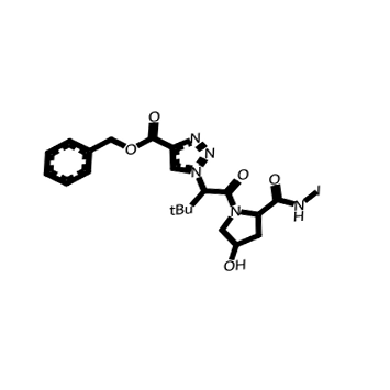 CC(C)(C)C(C(=O)N1CC(O)CC1C(=O)NI)n1cc(C(=O)OCc2ccccc2)nn1